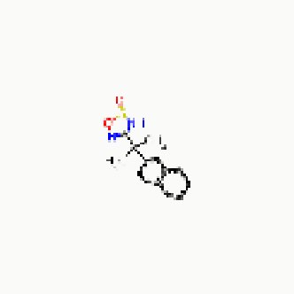 CC(C)(C1=NOS(=O)N1)c1ccc2ccccc2c1